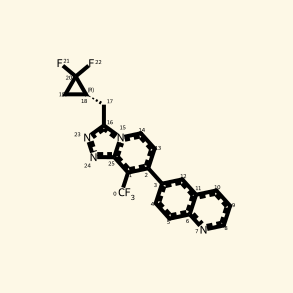 FC(F)(F)c1c(-c2ccc3ncccc3c2)ccn2c(C[C@@H]3CC3(F)F)nnc12